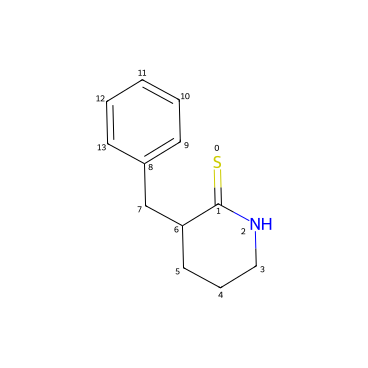 S=C1NCCCC1Cc1ccccc1